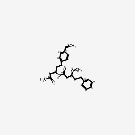 C=Cc1ccc(CCC(CC(C)=O)OC(=O)CC(CCc2ccccc2)OC)cc1